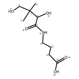 CC(C)(CO)C(O)C(=O)NCCCC(=O)O